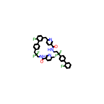 Cc1ccc(C(=O)NCC(F)(F)Cc2ccc(-c3cc(Cc4ccc(C(=O)NCCC(F)(F)c5ccc(-c6ccccc6F)cc5)cn4)ccc3F)cc2)cn1